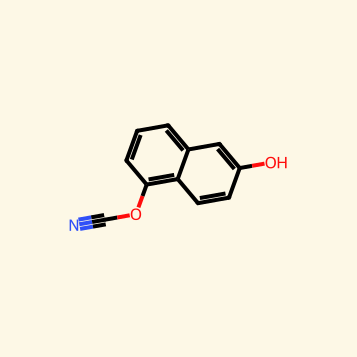 N#COc1cccc2cc(O)ccc12